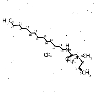 C=CC[N+](C)(C)CC(=O)NCCCCCCCCCCCCCC.[Cl-]